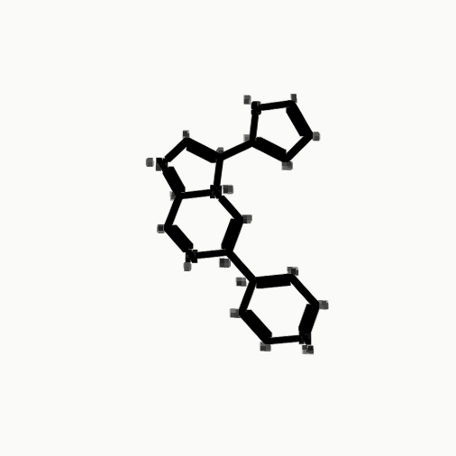 c1csc(-c2cnc3cnc(-c4ccncc4)cn23)c1